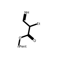 CCCCCOC(=O)C(C=N)CC